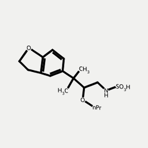 CCCOC(CNS(=O)(=O)O)C(C)(C)c1ccc2c(c1)CCO2